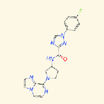 O=C(NC1CCN(c2nccn3ccnc23)C1)c1ncn(-c2ccc(F)cc2)n1